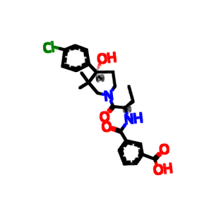 CC[C@@H](NC(=O)c1cccc(C(=O)O)c1)C(=O)N1CC[C@](O)(c2ccc(Cl)cc2)C(C)(C)C1